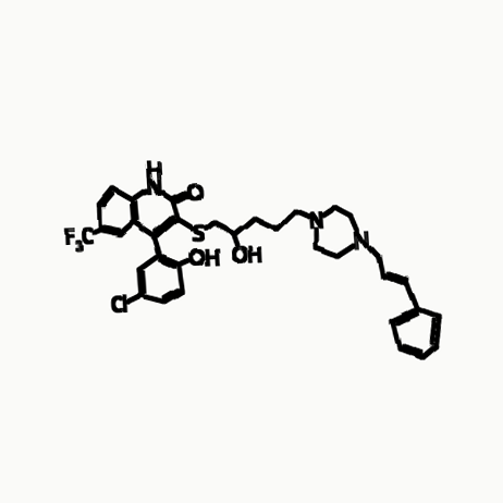 O=c1[nH]c2ccc(C(F)(F)F)cc2c(-c2cc(Cl)ccc2O)c1SCC(O)CCCN1CCN(CC=Cc2ccccc2)CC1